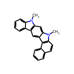 Cn1c2ccccc2c2cc3c4c5ccccc5ccc4n(C)c3cc21